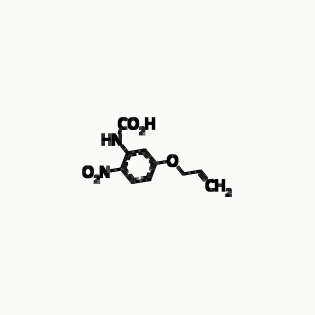 C=CCOc1ccc([N+](=O)[O-])c(NC(=O)O)c1